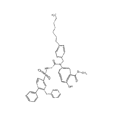 CCCCCCCc1ccc(CN(C(=O)CNS(=O)(=O)c2ccc(-c3ccccc3)c(Cc3ccccc3)c2)c2ccc(O)c(C(=O)OC)c2)cc1